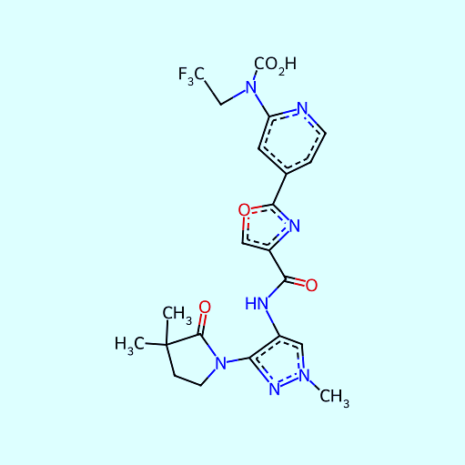 Cn1cc(NC(=O)c2coc(-c3ccnc(N(CC(F)(F)F)C(=O)O)c3)n2)c(N2CCC(C)(C)C2=O)n1